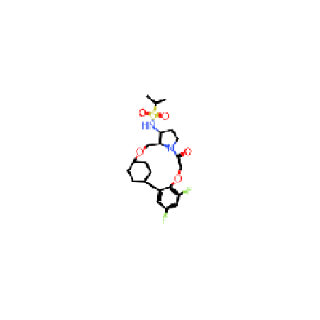 CC(C)S(=O)(=O)N[C@H]1CCN2C(=O)COc3c(F)cc(F)cc3C3CCC(CC3)OCC12